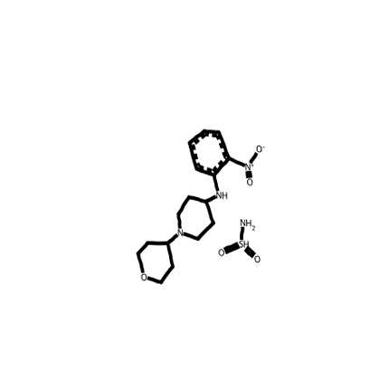 N[SH](=O)=O.O=[N+]([O-])c1ccccc1NC1CCN(C2CCOCC2)CC1